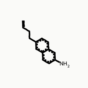 C=CCCc1ccc2cc(N)ccc2c1